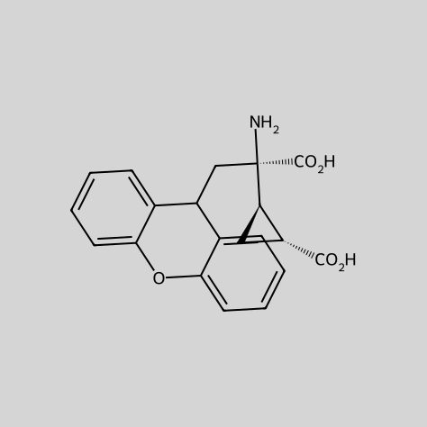 N[C@@](CC1c2ccccc2Oc2ccccc21)(C(=O)O)[C@@H]1C[C@H]1C(=O)O